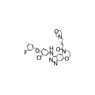 O=C(/C=C/CN1CCOCC1)N1CCCOc2cc3ncnc(Nc4ccc(OCc5cccc(F)c5)c(Cl)c4)c3cc21